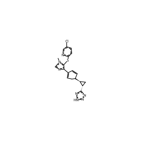 Cn1cnc(C2=CCC([C@H]3C[C@@H]3c3nn[nH]n3)C=C2)c1Sc1ccc(Cl)cn1